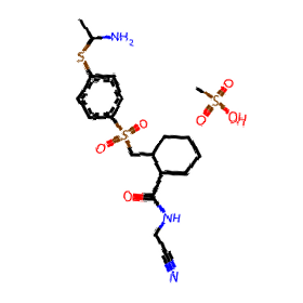 CC(N)Sc1ccc(S(=O)(=O)CC2CCCCC2C(=O)NCC#N)cc1.CS(=O)(=O)O